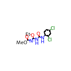 CCO/C(=N\C(=O)OC)NC(=O)Nc1ccc(Cl)cc1Cl